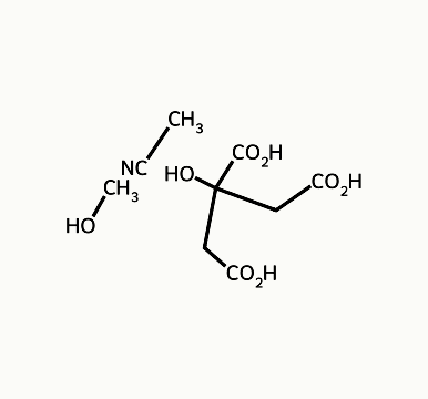 CC#N.CO.O=C(O)CC(O)(CC(=O)O)C(=O)O